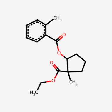 CCOC(=O)C1(C)CCCC1OC(=O)c1ccccc1C